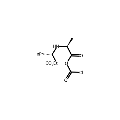 CCC[C@H](N[C@@H](C)C(=O)OC(=O)Cl)C(=O)OCC